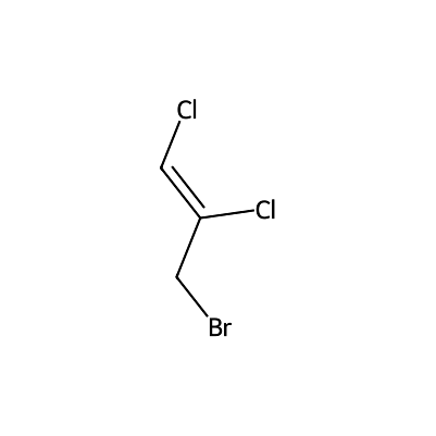 ClC=C(Cl)CBr